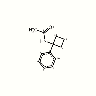 CC(=O)NC1(c2ccccc2)CCC1